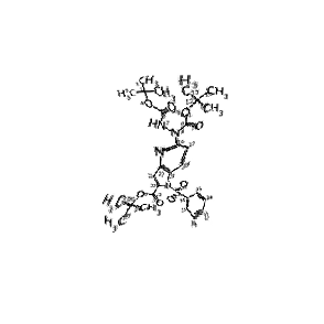 CC(C)(C)OC(=O)NN(C(=O)OC(C)(C)C)c1ccc2c(cc(C(=O)OC(C)(C)C)n2S(=O)(=O)c2ccccc2)n1